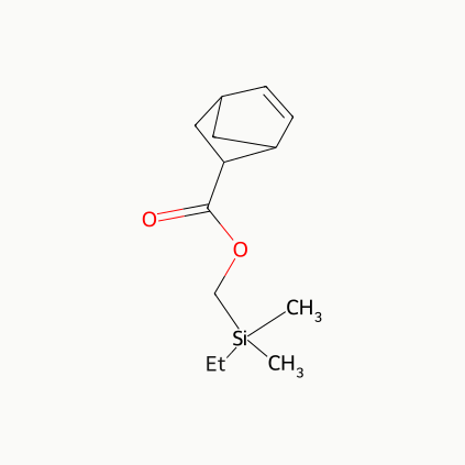 CC[Si](C)(C)COC(=O)C1CC2C=CC1C2